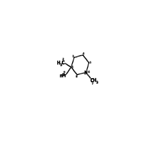 CCCC1(C)CCCN(C)C1